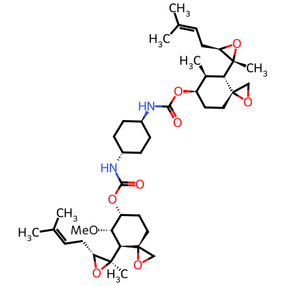 CO[C@@H]1[C@H](OC(=O)N[C@H]2CC[C@H](NC(=O)O[C@@H]3CC[C@]4(CO4)[C@@H]([C@@]4(C)O[C@@H]4CC=C(C)C)[C@@H]3C)CC2)CC[C@]2(CO2)[C@H]1[C@@]1(C)O[C@@H]1CC=C(C)C